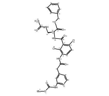 CC(C)(C)OC(=O)Nc1cc(CC(=O)Nc2ccc(Cl)c(C(=O)N[C@@H](CNC(N)=O)C(=O)OCc3ccccc3)c2Cl)ccn1